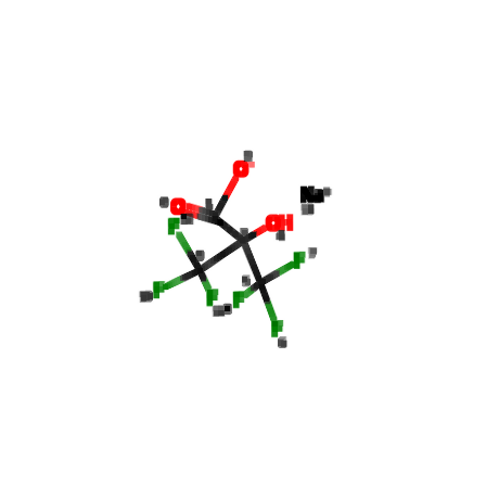 O=C([O-])C(O)(C(F)(F)F)C(F)(F)F.[Na+]